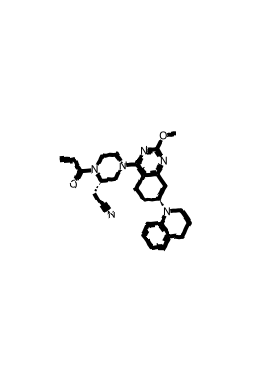 C=CC(=O)N1CCN(c2nc(OC)nc3c2CC[C@@H](N2CCCc4ccccc42)C3)C[C@@H]1CC#N